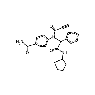 C#CC(=O)N(c1ccc(C(N)=O)cc1)C(C(=O)NC1CCCC1)c1ccccc1